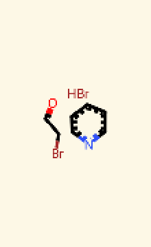 Br.O=CCBr.c1ccncc1